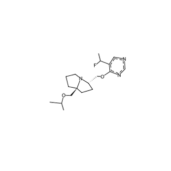 CC(C)OC[C@@]12CCCN1[C@H](COc1ncncc1C(C)F)CC2